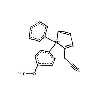 COc1ccc([N+]2(c3ccccc3)C=CN=C2CC#N)cc1